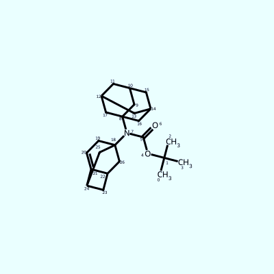 CC(C)(C)OC(=O)N(C12CC3CC(CC(C3)C1)C2)C12CC=C3C(CC3C1)C2